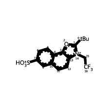 CC(C)(C)c1oc2c3ccc(S(=O)(=O)O)cc3ccc2[n+]1CC(F)(F)F